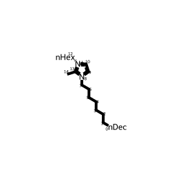 CCCCCCCCCCCCCCCCCn1cc[n+](CCCCCC)c1C